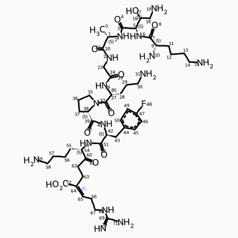 C[C@H](NC(=O)[C@@H](NC(=O)[C@@H](N)CCCCN)[C@@H](O)CN)C(=O)NCC(=O)N[C@H](CCCN)C(=O)N1CCC[C@H]1C(=O)N[C@@H](Cc1ccc(F)cc1)C(=O)N[C@@H](CCCCN)C(=O)CC/C(=C\CCNC(=N)N)C(=O)O